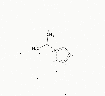 CC(C)n1cccc1